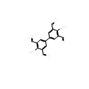 O=Cc1cc(-c2cc(C=O)c(O)c(C=O)c2)cc(C=O)c1O